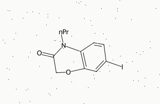 CCCN1C(=O)COc2cc(I)ccc21